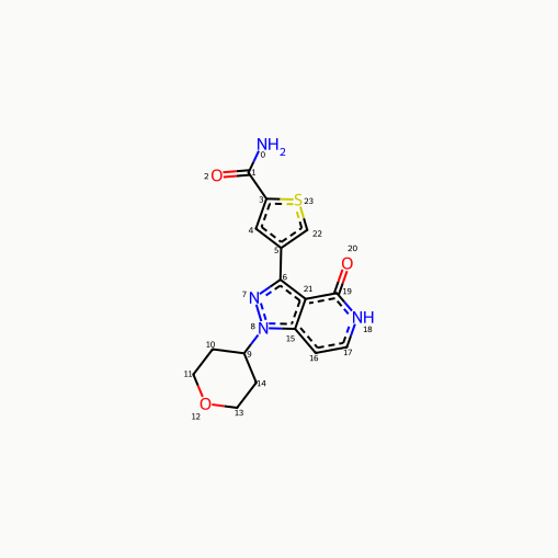 NC(=O)c1cc(-c2nn(C3CCOCC3)c3cc[nH]c(=O)c23)cs1